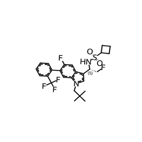 CC(C)(C)Cn1cc([C@@H](CF)NS(=O)(=O)C2CCC2)c2cc(F)c(-c3ccccc3C(F)(F)F)cc21